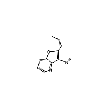 C=Nc1c(/C=C\C)oc2cccnc12